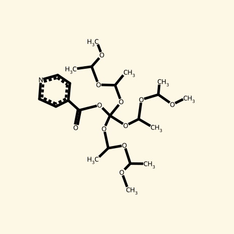 COC(C)OC(C)OC(OC(=O)c1ccncc1)(OC(C)OC(C)OC)OC(C)OC(C)OC